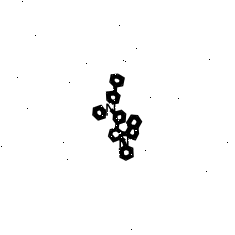 C1=Cc2c(c3c4ccccc4ccc3n2-c2ccccc2)C(c2cccc(N(c3ccccc3)c3ccc(-c4ccccc4)cc3)c2)C1